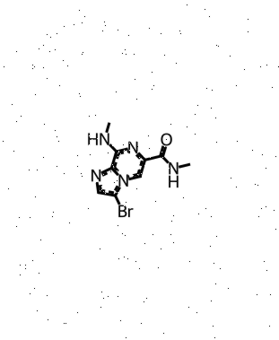 CNC(=O)c1cn2c(Br)cnc2c(NC)n1